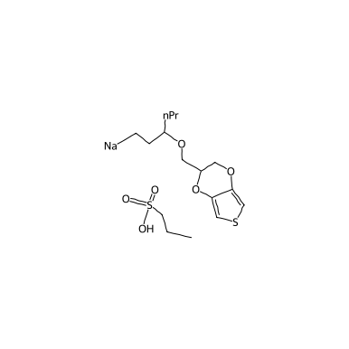 CCCC(C[CH2][Na])OCC1COc2cscc2O1.CCCS(=O)(=O)O